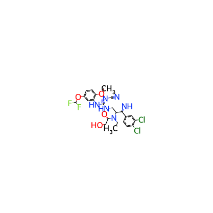 CCN(C(=O)CO)C(CN/C(=N\C#N)Nc1cc(OC(F)F)ccc1OC)C(=N)c1ccc(Cl)c(Cl)c1